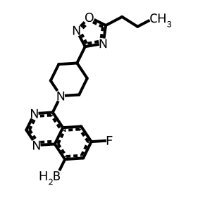 Bc1cc(F)cc2c(N3CCC(c4noc(CCC)n4)CC3)ncnc12